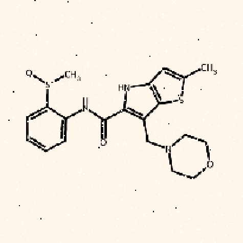 Cc1cc2[nH]c(C(=O)Nc3ccccc3[S+](C)[O-])c(CN3CCOCC3)c2s1